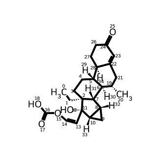 CC[C@]12CC[C@H]3[C@H]([C@@H]1[C@@H]1C[C@@H]1[C@@]2(O)/C=C\OC(=O)O)[C@@H](C)CC1=CC(=O)CC[C@@H]13